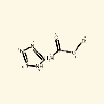 CCOC(N)=O.c1nnn[nH]1